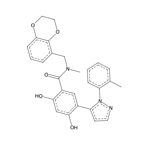 Cc1ccccc1-n1nccc1-c1cc(C(=O)N(C)Cc2cccc3c2OCCO3)c(O)cc1O